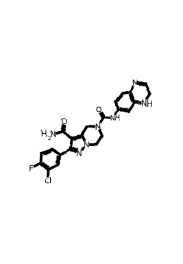 NC(=O)c1c(-c2ccc(F)c(Cl)c2)nn2c1CN(C(=O)Nc1ccc3c(c1)NCC=N3)CC2